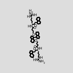 N=C(N)NCCCC[C@@H](NC(=O)CCCOc1ccc2ccccc2c1-c1c(OCCCC(=O)N[C@H](CCCCNC(=N)N)C(=O)Cc2cccc3ccccc23)ccc2ccccc12)C(=O)Cc1cccc2ccccc12